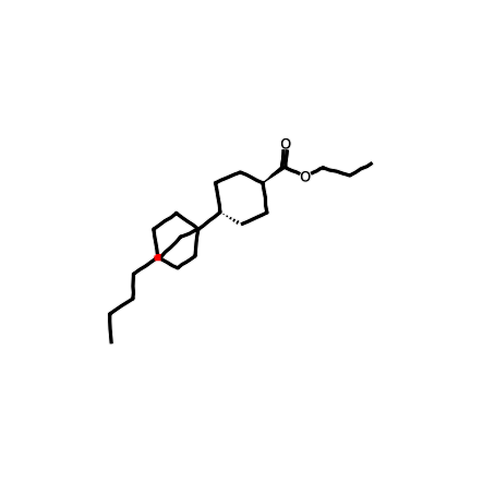 CCCCC12CCC([C@H]3CC[C@H](C(=O)OCCC)CC3)(CC1)CC2